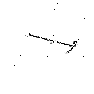 CCCCCCCCCCCCCCCCCCC(O)COCCCCCCCCC=CC[C@@H](CCCCCC)OC1CCCCO1